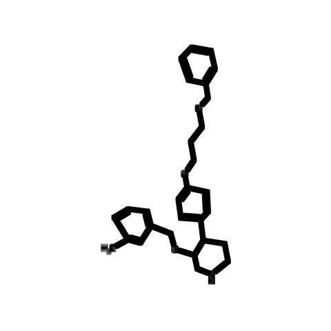 Cc1cccc(COC2CNCCC2c2ccc(OCCCOCc3ccccc3)cc2)c1